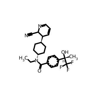 CCN(C(=O)c1ccc([C@](C)(O)C(F)(F)F)cc1)[C@H]1CC[C@H](C2C=CC=NC2C#N)CC1